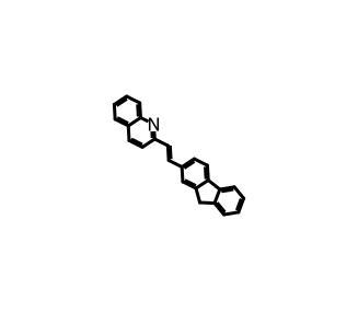 C(=Cc1ccc2ccccc2n1)c1ccc2c(c1)Cc1ccccc1-2